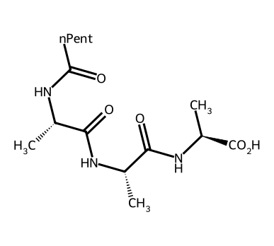 CCCCCC(=O)N[C@@H](C)C(=O)N[C@@H](C)C(=O)N[C@@H](C)C(=O)O